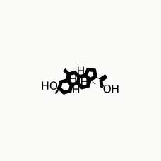 C=C(CO)[C@H]1CC[C@H]2[C@@H]3CC(C)=C4C[C@@](C)(O)CC[C@@H]4[C@H]3CC[C@]12C